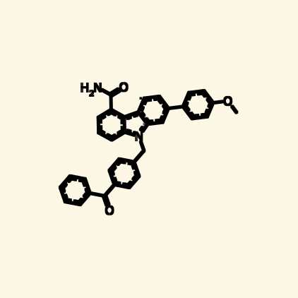 COc1ccc(-c2c[c]c3c4c(C(N)=O)cccc4n(Cc4ccc(C(=O)c5ccccc5)cc4)c3c2)cc1